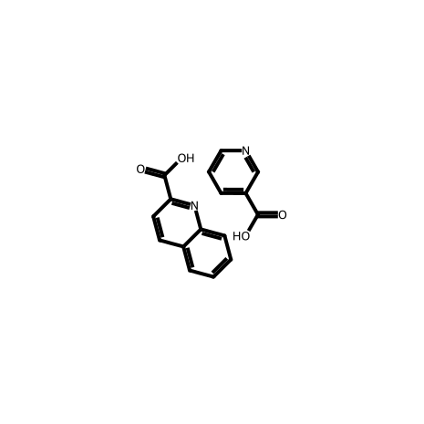 O=C(O)c1ccc2ccccc2n1.O=C(O)c1cccnc1